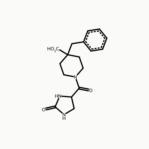 O=C1NCC(C(=O)N2CCC(Cc3ccccc3)(C(=O)O)CC2)N1